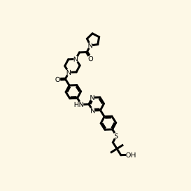 CC(C)(CO)CSc1ccc(-c2ccnc(Nc3ccc(C(=O)N4CCN(CC(=O)N5CCCC5)CC4)cc3)n2)cc1